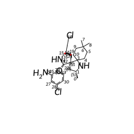 C[C@@H]1NC2(CCC(C)(C)CC2)[C@@]2(C(=O)Nc3cc(Cl)ccc32)[C@H]1c1cc(N)cc(Cl)c1